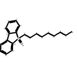 CCCCCCCCCP1(=O)c2ccccc2-c2ccccc21